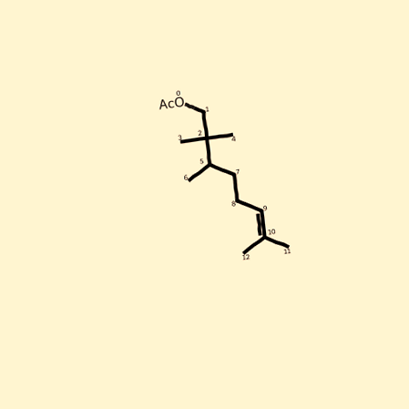 CC(=O)OCC(C)(C)C(C)CCC=C(C)C